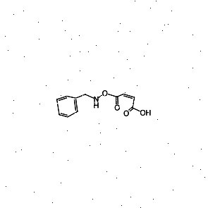 O=C(O)/C=C\C(=O)ONCc1ccccc1